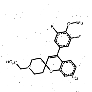 CCCCOc1c(F)cc(C2=CC3(CCN(CC(=O)O)CC3)Oc3ccccc32)cc1F.Cl